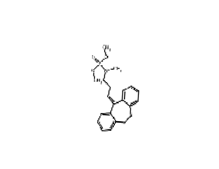 COP(=O)(OC)N(C)CCC=C1c2ccccc2CCc2ccccc21